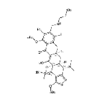 CCCCOc1noc2c1C(=O)[C@@]1(O[Si](C)(C)C(C)(C)C)C(O)=C3C(=O)c4c(c(F)c(CNCCC(C)(C)C)c(Br)c4OCCCC)C[C@H]3C[C@H]1[C@@H]2N(C)C